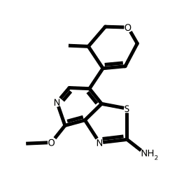 COc1ncc(C2=CCOCC2C)c2sc(N)nc12